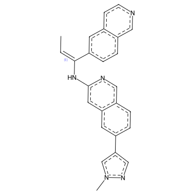 C/C=C(/Nc1cc2cc(-c3cnn(C)c3)ccc2cn1)c1ccc2cnccc2c1